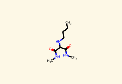 CCCCNC(C(=O)NC)C(=O)NC